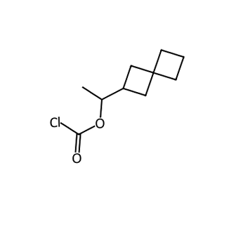 CC(OC(=O)Cl)C1CC2(CCC2)C1